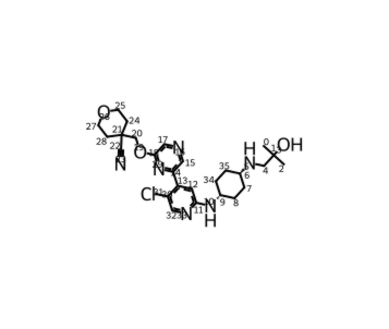 CC(C)(O)CN[C@H]1CC[C@H](Nc2cc(-c3cncc(OCC4(C#N)CCOCC4)n3)c(Cl)cn2)CC1